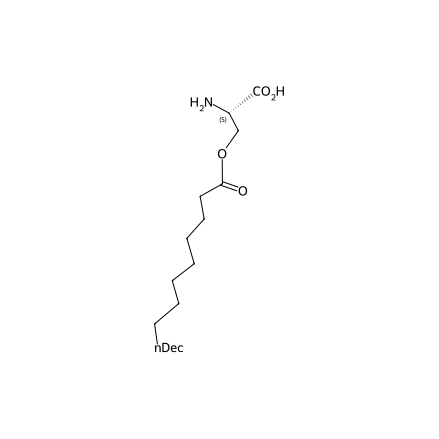 CCCCCCCCCCCCCCCCCC(=O)OC[C@H](N)C(=O)O